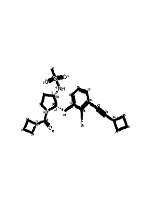 CS(=O)(=O)N[C@H]1CCN(C(=O)N2CCC2)[C@H]1Cc1cccc(C#CC2CCC2)c1F